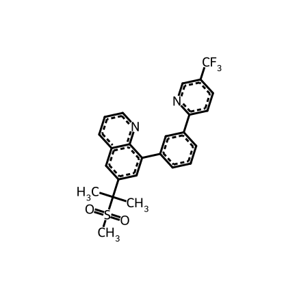 CC(C)(c1cc(-c2cccc(-c3ccc(C(F)(F)F)cn3)c2)c2ncccc2c1)S(C)(=O)=O